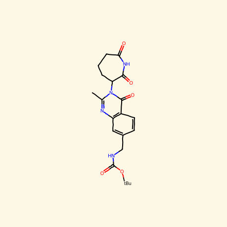 Cc1nc2cc(CNC(=O)OC(C)(C)C)ccc2c(=O)n1C1CCCC(=O)NC1=O